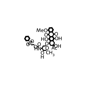 COc1cccc2c1C(=O)c1c(O)c3c(c(O)c1C2=O)C[C@@](O)(C(C)=O)C[C@@H]3OC1CC(NC(=O)OCCS(=O)(=O)c2ccccc2)C(O)C(C)O1